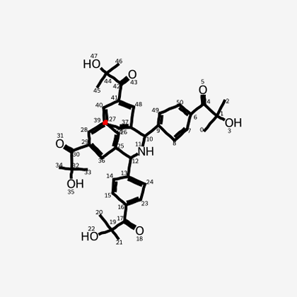 CC(C)(O)C(=O)c1ccc(C(NC(c2ccc(C(=O)C(C)(C)O)cc2)c2cccc(C(=O)C(C)(C)O)c2)c2cccc(C(=O)C(C)(C)O)c2)cc1